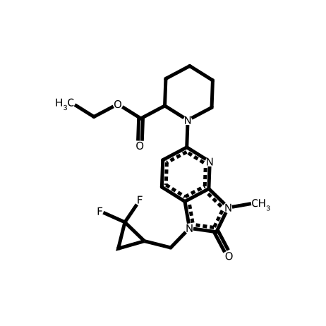 CCOC(=O)C1CCCCN1c1ccc2c(n1)n(C)c(=O)n2CC1CC1(F)F